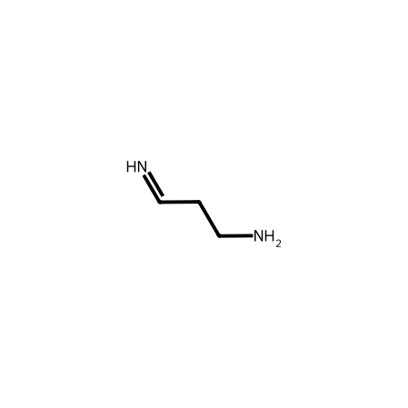 N=CCCN